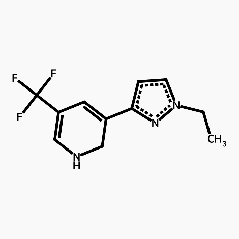 CCn1ccc(C2=CC(C(F)(F)F)=CNC2)n1